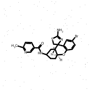 Cc1ccc(C(=O)NC2CC[C@@H]3Oc4ccc(Br)cc4C4(CSC(N)=N4)[C@H]3C2)cn1